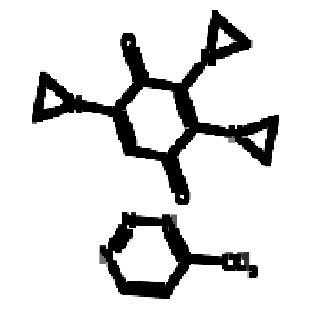 ClC(Cl)(Cl)c1ccnnn1.O=C1C=C(N2CC2)C(=O)C(N2CC2)=C1N1CC1